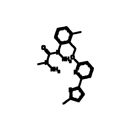 Cc1ccc(-c2cccc(OCc3c(C)cccc3N(N)C(=O)N(C)N)n2)s1